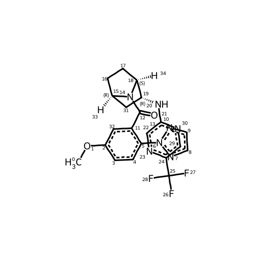 COc1ccc(-n2nccn2)c(C(=O)N2[C@@H]3CC[C@H]2[C@H](Nc2cnc(C(F)(F)F)cn2)C3)c1